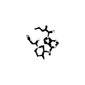 CCCC(C)C(=O)n1ccc2c(N(C)C3CN(C(=O)CC#N)CCC3C)ncnc21